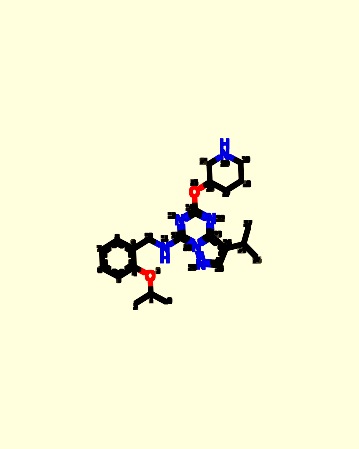 CC(C)Oc1ccccc1CNc1nc(OC2CCCNC2)nc2c(C(C)C)cnn12